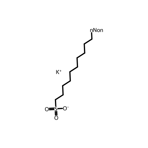 CCCCCCCCCCCCCCCCCCCS(=O)(=O)[O-].[K+]